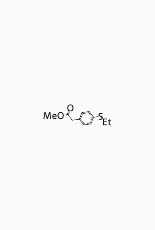 CCSc1ccc(CC(=O)OC)cc1